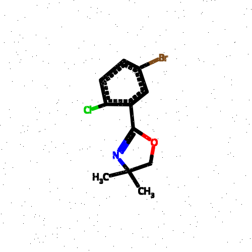 CC1(C)COC(c2cc(Br)ccc2Cl)=N1